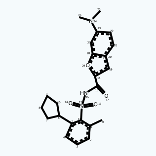 Cc1cccc(C2CCCC2)c1S(=O)(=O)NC(=O)c1cc2ccc(N(C)C)cc2o1